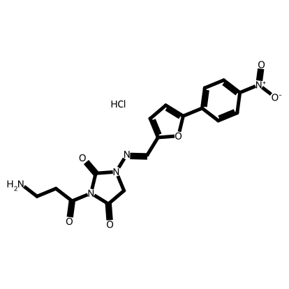 Cl.NCCC(=O)N1C(=O)CN(N=Cc2ccc(-c3ccc([N+](=O)[O-])cc3)o2)C1=O